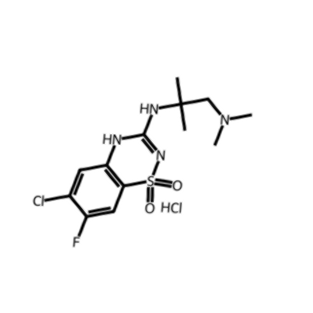 CN(C)CC(C)(C)NC1=NS(=O)(=O)c2cc(F)c(Cl)cc2N1.Cl